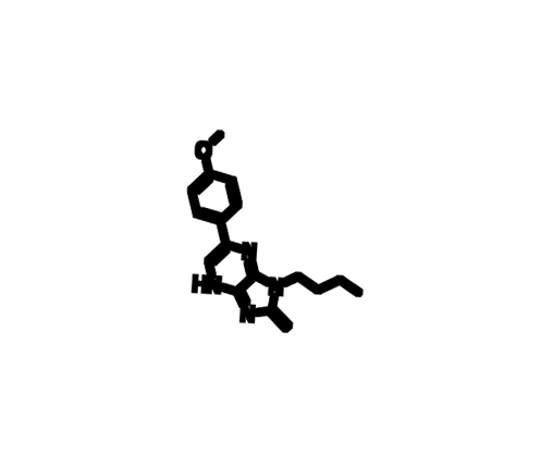 C=c1nc2c(n1CCCC)=NC(c1ccc(OC)cc1)=CN2